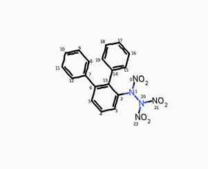 O=[N+]([O-])N(c1cccc(-c2ccccc2)c1-c1ccccc1)N([N+](=O)[O-])[N+](=O)[O-]